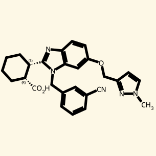 Cn1ccc(COc2ccc3nc([C@H]4CCCC[C@H]4C(=O)O)n(Cc4cccc(C#N)c4)c3c2)n1